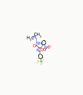 CN(C)CCNC(=O)c1nc(-c2ccc(C(F)(F)F)cc2)oc1-c1ccccc1[N+](=O)[O-]